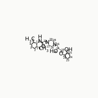 Cc1cccc(C)c1NC(=O)CN1CCN(CC(O)COc2ccccc2O)CC1